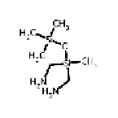 C[Si](C)(C)O[Si](C)(CN)CN